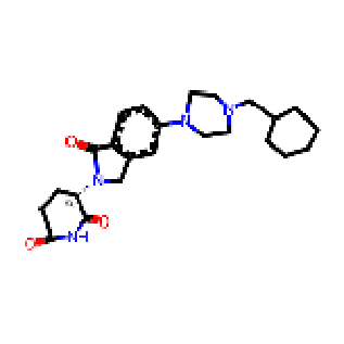 O=C1CC[C@H](N2Cc3cc(N4CCN(CC5CCCCC5)CC4)ccc3C2=O)C(=O)N1